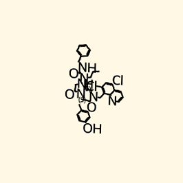 CCCN(C(=O)NCc1ccccc1)N1CC(=O)N2[C@@H](Cc3ccc(O)cc3)C(=O)N(Cc3c(Cl)cc(Cl)c4cccnc34)C[C@@H]21